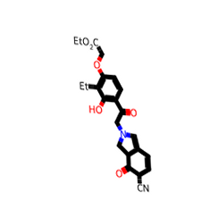 CCOC(=O)COc1ccc(C(=O)CN2C=C3C=CC(C#N)C(=O)C3C2)c(O)c1CC